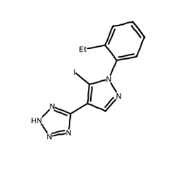 CCc1ccccc1-n1ncc(-c2nn[nH]n2)c1I